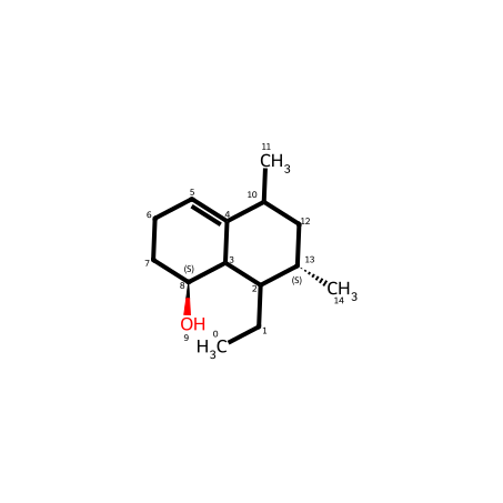 CCC1C2C(=CCC[C@@H]2O)C(C)C[C@@H]1C